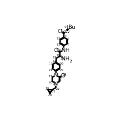 CC(C)(C)OC(=O)c1ccc(NC(=O)[C@@H](N)Cc2ccc(N3CCN(CC4CC4)CC3=O)cc2)cc1